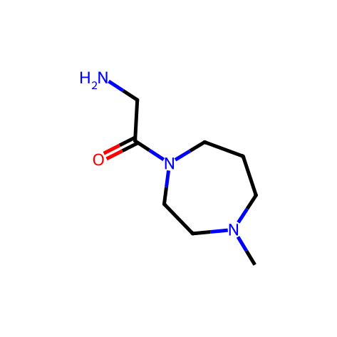 CN1CCCN(C(=O)CN)CC1